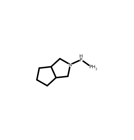 PPN1CC2CCCC2C1